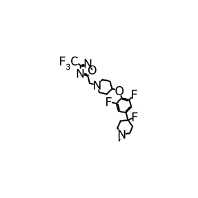 CN1CCC(F)(c2cc(F)c(OC3CCN(Cc4nc(C(F)(F)F)no4)CC3)c(F)c2)CC1